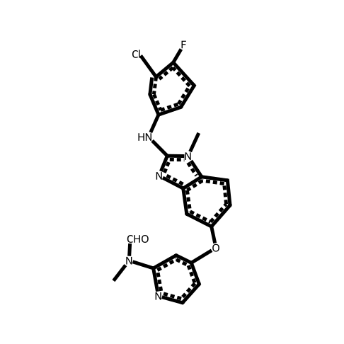 CN(C=O)c1cc(Oc2ccc3c(c2)nc(Nc2ccc(F)c(Cl)c2)n3C)ccn1